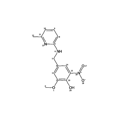 COc1cc(CNc2cccc(C)n2)cc([N+](=O)[O-])c1O